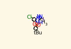 Cc1c(I)nnn1-c1cc(Cl)ccc1NS(=O)(=O)c1ccc(C(C)(C)C)cc1